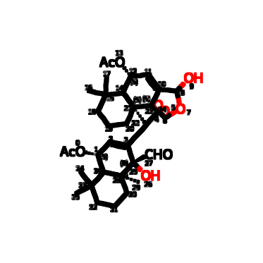 CC(=O)O[C@@H]1C=C(C2OC3OC(O)C4=C[C@@H](OC(C)=O)C5C(C)(C)CCC[C@]5(C)[C@]43O2)[C@@](O)(C=O)[C@@]2(C)CCCC(C)(C)C12